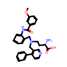 COc1cccc(C(=O)Nc2ccccc2CN(CC[C@H](N)C(=O)O)Cc2cnccc2-c2ccccc2)c1